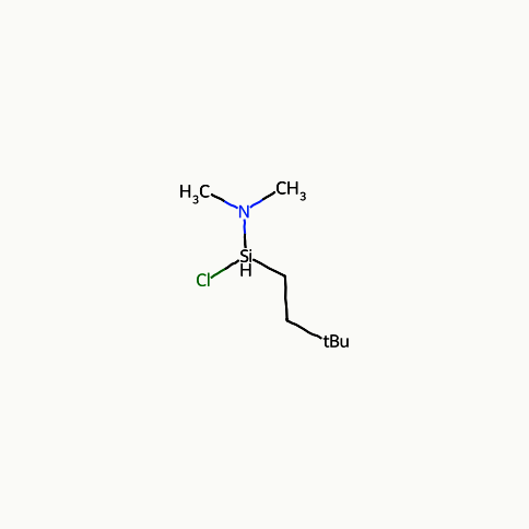 CN(C)[SiH](Cl)CCC(C)(C)C